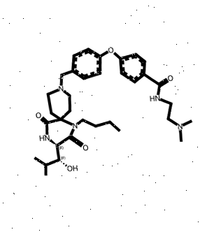 CCCCN1C(=O)[C@@H]([C@H](O)C(C)C)NC(=O)C12CCN(Cc1ccc(Oc3ccc(C(=O)NCCN(C)C)cc3)cc1)CC2